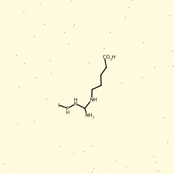 NC(NCCCCC(=O)O)NPI